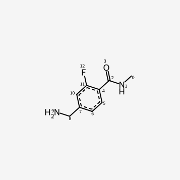 CNC(=O)c1ccc(CN)cc1F